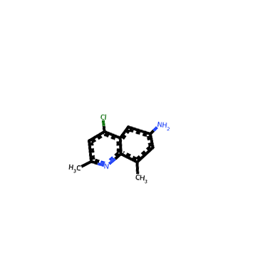 Cc1cc(Cl)c2cc(N)cc(C)c2n1